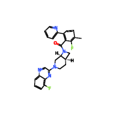 Cc1ccc(-c2ccccn2)c(C(=O)N2C[C@H]3CCN(c4cnc5cccc(F)c5n4)C[C@H]32)c1F